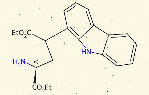 CCOC(=O)C(C[C@H](N)C(=O)OCC)c1cccc2c1[nH]c1ccccc12